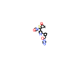 CN1CCN(C(=O)Cc2cccc(-c3cc(-c4c(N5CCOCC5)sc5c4CC(C)(C)CC5=O)ccn3)c2)CC1